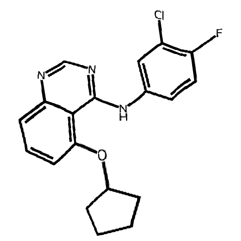 Fc1ccc(Nc2ncnc3cccc(OC4CCCC4)c23)cc1Cl